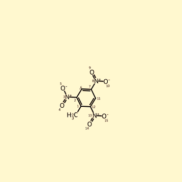 Cc1c([N+](=O)[O-])[c]c([N+](=O)[O-])cc1[N+](=O)[O-]